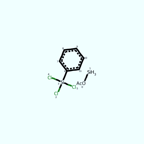 CC(=O)O[SiH3].Cl[Si](Cl)(Cl)c1ccccc1